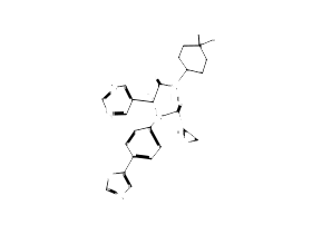 O=C(NC1CCC(F)(F)CC1)[C@H](c1cncnc1)N(C(=O)[C@H]1CO1)c1ccc(-c2cnco2)cc1